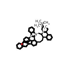 C=CC1=[N+](CC[Si](C)(C)C)C2C[n+]3c(n(-c4ccc(-c5ccccc5)cc4)c4ccccc43)-c3c(ccc4c3oc3ccccc34)CCC2c2ccccc21